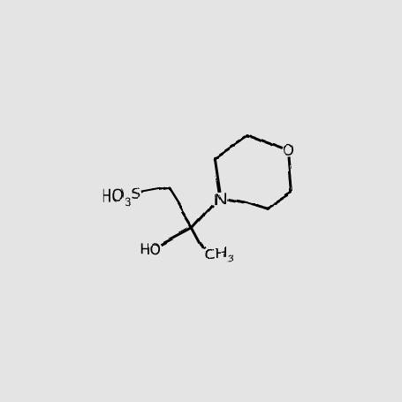 CC(O)(CS(=O)(=O)O)N1CCOCC1